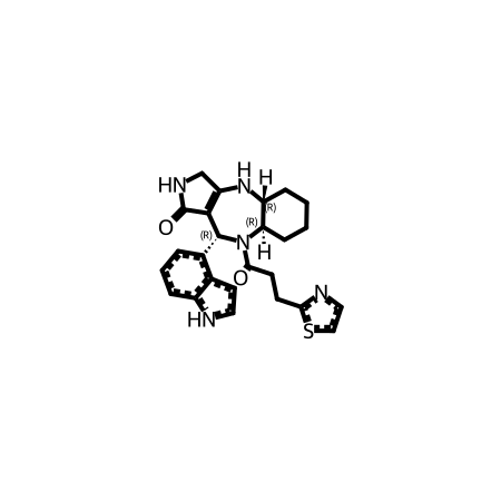 O=C1NCC2=C1[C@@H](c1cccc3[nH]ccc13)N(C(=O)CCc1nccs1)[C@@H]1CCCC[C@H]1N2